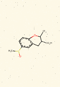 C[S+]([O-])c1ccc2c(c1)CC(C(=O)O)C(C(F)(F)F)O2